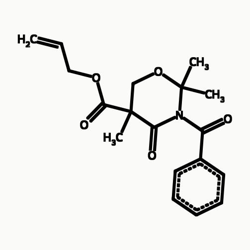 C=CCOC(=O)C1(C)COC(C)(C)N(C(=O)c2ccccc2)C1=O